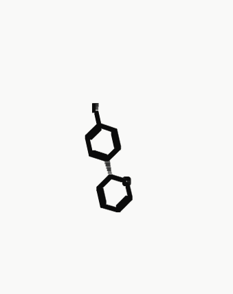 Fc1ccc([C@H]2C=CC=CO2)cc1